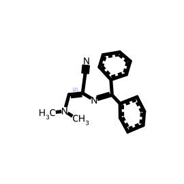 CN(C)/C=C(/C#N)N=C(c1ccccc1)c1ccccc1